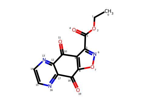 CCOC(=O)c1noc2c1C(=O)c1nccnc1C2=O